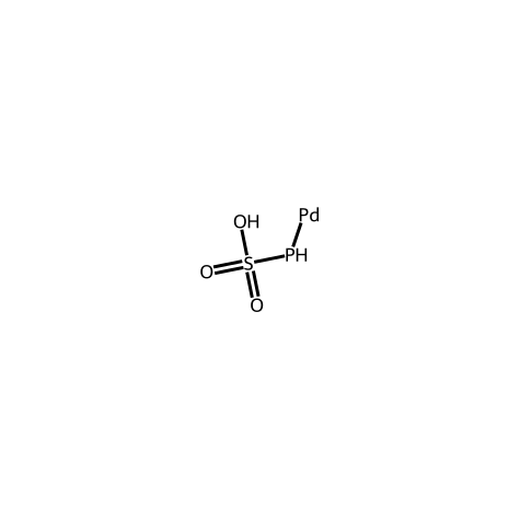 O=S(=O)(O)[PH][Pd]